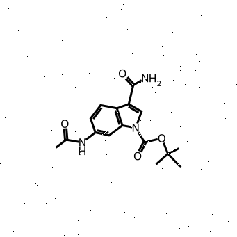 CC(=O)Nc1ccc2c(C(N)=O)cn(C(=O)OC(C)(C)C)c2c1